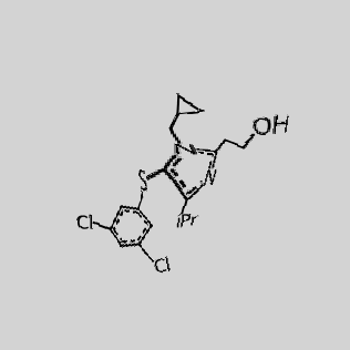 CC(C)c1nc(CCO)n(CC2CC2)c1Sc1cc(Cl)cc(Cl)c1